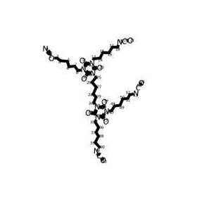 N#COCCCCCCn1c(=O)n(CCCCCCN=C=O)c(=O)n(CCCCCCn2c(=O)n(CCCCCCN=C=O)c(=O)n(CCCCCCN=C=O)c2=O)c1=O